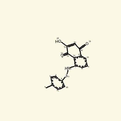 Cc1ccc(SNc2cccc3c2C(=O)C(O)=CC3=O)cc1